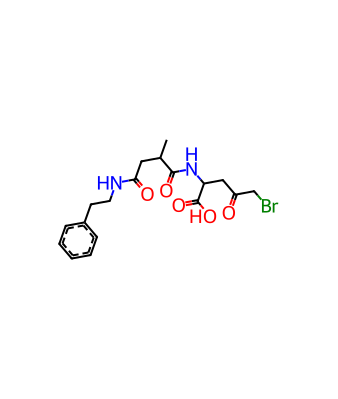 CC(CC(=O)NCCc1ccccc1)C(=O)NC(CC(=O)CBr)C(=O)O